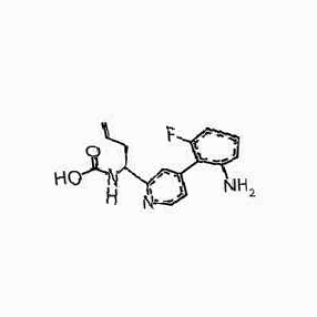 C=CC[C@H](NC(=O)O)c1cc(-c2c(N)cccc2F)ccn1